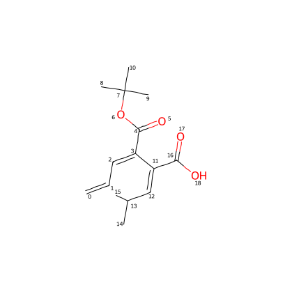 C=C/C=C(C(=O)OC(C)(C)C)\C(=C/C(C)C)C(=O)O